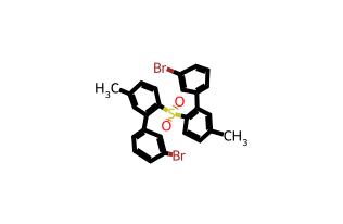 Cc1ccc(S(=O)(=O)c2ccc(C)cc2-c2cccc(Br)c2)c(-c2cccc(Br)c2)c1